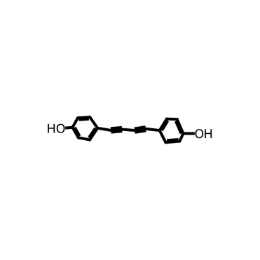 Oc1ccc(C#CC#Cc2ccc(O)cc2)cc1